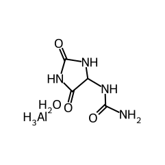 NC(=O)NC1NC(=O)NC1=O.O.[AlH3]